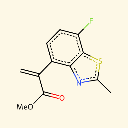 C=C(C(=O)OC)c1ccc(F)c2sc(C)nc12